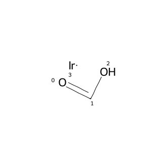 O=CO.[Ir]